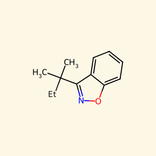 CCC(C)(C)c1noc2ccccc12